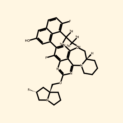 [2H]C([2H])([2H])C([2H])([2H])c1c(F)ccc2cc(O)cc(-c3nc4c5c(nc(OC[C@@]67CCCN6C[C@H](F)C7)nc5c3F)N3CCCC[C@H]3CO4)c12